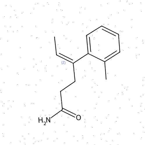 C/C=C(/CCC(N)=O)c1ccccc1C